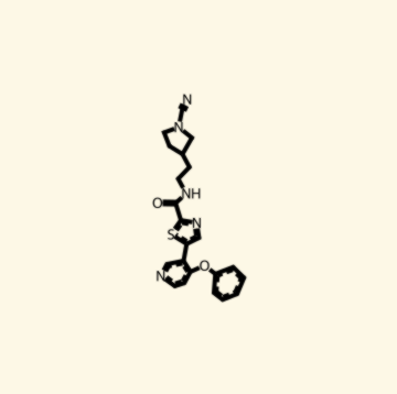 N#CN1CCC(CCNC(=O)c2ncc(-c3cnccc3Oc3ccccc3)s2)C1